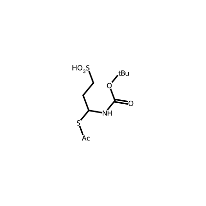 CC(=O)SC(CCS(=O)(=O)O)NC(=O)OC(C)(C)C